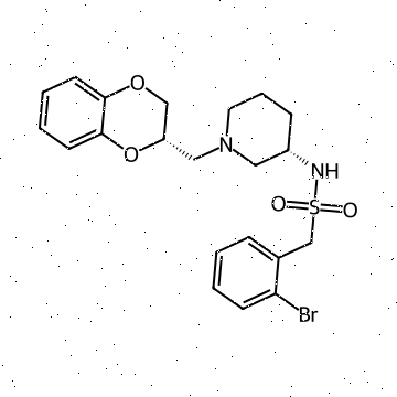 O=S(=O)(Cc1ccccc1Br)N[C@H]1CCCN(C[C@H]2COc3ccccc3O2)C1